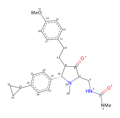 CNC(=O)NCC1C(=O)C(CCc2ccc(OC)cc2)[C@@H](c2ccc(C3CC3)cc2)N1C